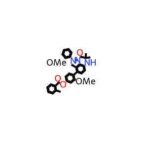 COc1cc(OC(=O)c2ccccc2C)ccc1-c1ccc2c3c1CN(c1ccccc1OC)N3C(=O)C(C)(C)N2